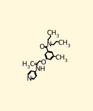 CCCN(CCC)C(=O)c1cc(C)cc(OC[C@H](C)Nc2ccncc2)c1